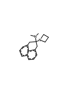 CN(C)C1(N2CCC2)Cc2cccc3cccc(c23)C1